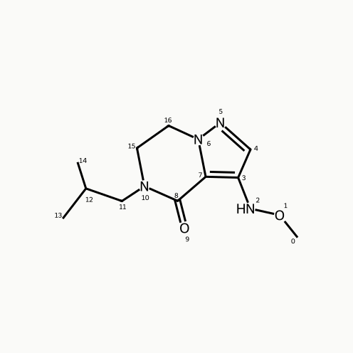 CONc1cnn2c1C(=O)N(CC(C)C)CC2